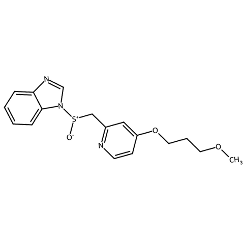 COCCCOc1ccnc(C[S+]([O-])n2cnc3ccccc32)c1